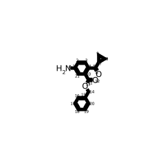 Nc1ccc(C(=O)C2CC2)c(C(=O)OCc2ccccc2)c1